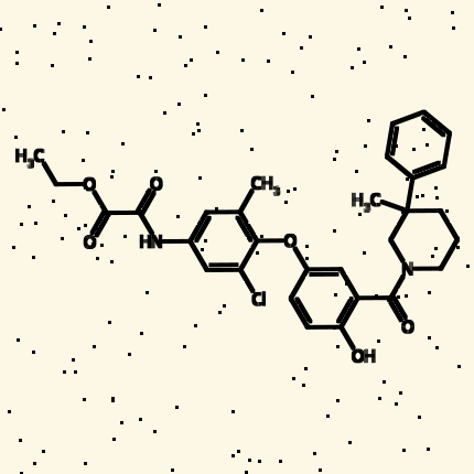 CCOC(=O)C(=O)Nc1cc(C)c(Oc2ccc(O)c(C(=O)N3CCCC(C)(c4ccccc4)C3)c2)c(Cl)c1